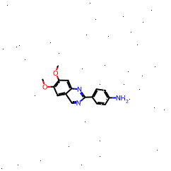 COc1cc2cnc(-c3ccc(N)cc3)nc2cc1OC